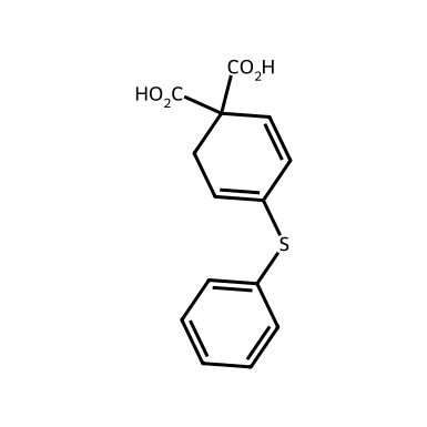 O=C(O)C1(C(=O)O)C=CC(Sc2ccccc2)=CC1